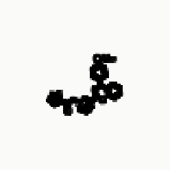 COc1ccc(C(OC(=O)C2C[N+]3(CC(=O)c4cccs4)CCC2CC3)c2ccccc2)cc1